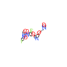 O=C(Nc1ccc(Oc2ccnc3ccc(OCCCN4CCOCC4)cc23)c(F)c1)c1c2c(cn(-c3ccc(F)cc3)c1=O)CCO2